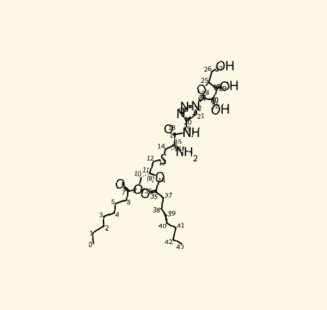 CCCCCCCC(=O)OC[C@H](CSC[C@@H](N)C(=O)Nc1cn([C@H]2OC(CO)[C@@H](O)[C@H]2O)nn1)OC(=O)CCCCCCC